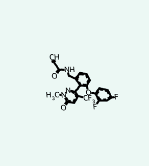 C#CC(=O)NCc1cccc(Oc2ccc(F)cc2F)c1-c1nn(C)c(=O)cc1C(F)(F)F